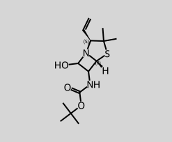 C=C[C@@H]1N2C(O)C(NC(=O)OC(C)(C)C)[C@H]2SC1(C)C